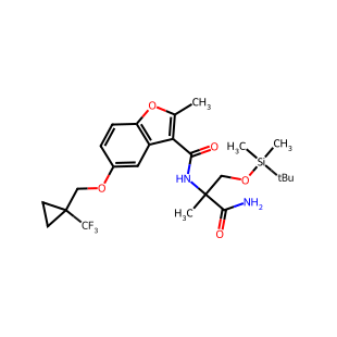 Cc1oc2ccc(OCC3(C(F)(F)F)CC3)cc2c1C(=O)NC(C)(CO[Si](C)(C)C(C)(C)C)C(N)=O